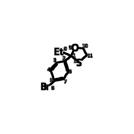 CCC1(c2ccc(Br)cc2)OCCS1